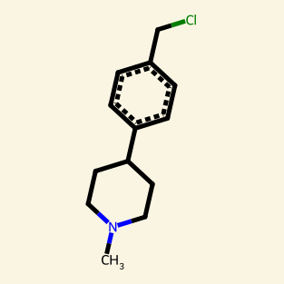 CN1CCC(c2ccc(CCl)cc2)CC1